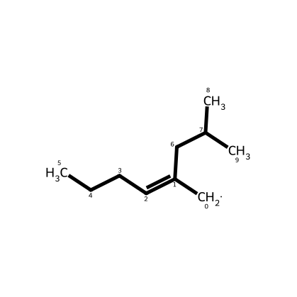 [CH2]/C(=C/CCC)CC(C)C